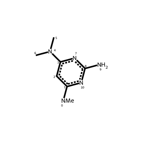 CNc1cc(N(C)C)nc(N)n1